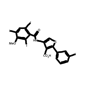 COc1c(I)cc(I)c(C(=O)Nc2csc(-c3cccc(I)c3)c2C(=O)O)c1I